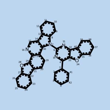 c1ccc(-c2nc(-n3c4ccccc4c4cnc5c(ccc6c7ccccc7oc65)c43)nc3c2oc2ccccc23)cc1